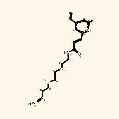 C=Cc1cc(C)nc(C=CC(=O)NCCOCCOCCN=[N+]=[N-])c1